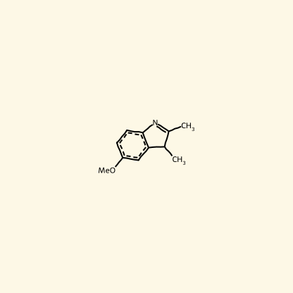 COc1ccc2c(c1)C(C)C(C)=N2